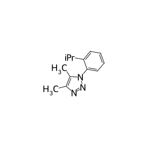 Cc1nnn(-c2ccccc2C(C)C)c1C